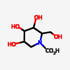 O=C(O)N1CC(O)C(O)C(O)C1CO